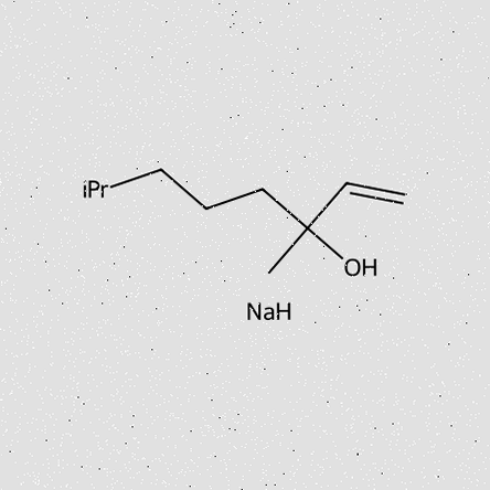 C=CC(C)(O)CCCC(C)C.[NaH]